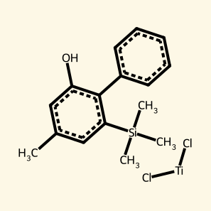 Cc1cc(O)c(-c2ccccc2)c([Si](C)(C)C)c1.[Cl][Ti][Cl]